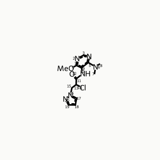 COc1ncnc(N(C)C)c1NC(=O)C(Cl)Cn1cccn1